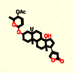 CC(=O)O[C@@H]1C=C[C@H](O[C@H]2CCC3(C)C4CCC5(C)[C@@H](C6=CC(=O)OC6)CC[C@]5(O)C4CC[C@@H]3C2)OC1C